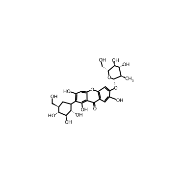 C[C@H]1[C@H](Oc2cc3oc4cc(O)c(C5C[C@H](CO)[C@@H](O)[C@H](O)[C@H]5O)c(O)c4c(=O)c3cc2O)O[C@H](CO)[C@@H](O)[C@@H]1O